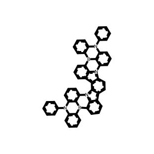 c1ccc(N2c3ccccc3B3c4c2cccc4-n2c4ccc5c6cccc7c6n(c5c4c4cccc3c42)-c2cccc3c2B7c2ccccc2N3c2ccccc2)cc1